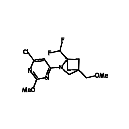 COCC12CN(c3cc(Cl)nc(OC)n3)C(C(F)F)(C1)C2